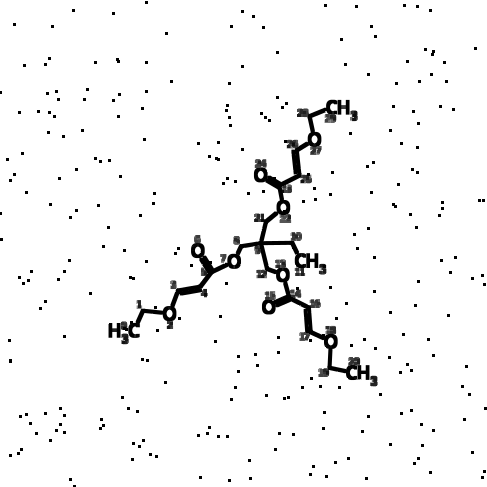 CCOC=CC(=O)OCC(CC)(COC(=O)C=COCC)COC(=O)C=COCC